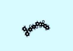 O=C1C(=Cc2ccc3c(c2)oc2cc4c(cc23)oc2cc(N(c3ccccc3)c3ccccc3)ccc24)C(=O)c2cc3ccccc3cc21